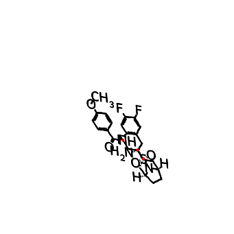 COc1ccc(C(=O)NCCS(=O)(=O)N2[C@@H]3CC[C@H]2C[C@H]([C@H](N)Cc2cc(F)c(F)cc2F)C3)cc1